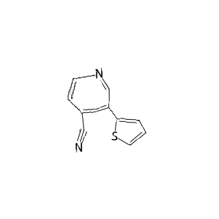 N#Cc1ccncc1-c1cccs1